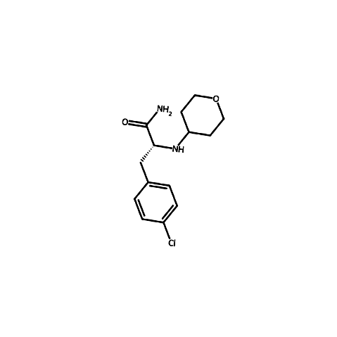 NC(=O)[C@@H](Cc1ccc(Cl)cc1)NC1CCOCC1